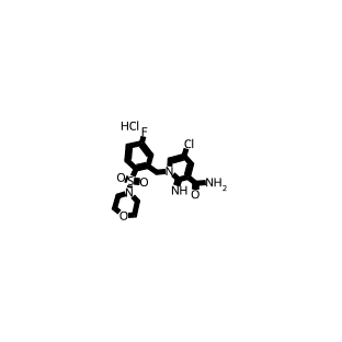 Cl.N=c1c(C(N)=O)cc(Cl)cn1Cc1cc(F)ccc1S(=O)(=O)N1CCOCC1